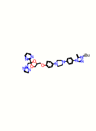 C=C1N(c2ccc(N3CCN(c4ccc(OCC5COC(Cn6nccn6)(c6ncccn6)O5)cc4)CC3)cc2)C=NN1C(C)CC